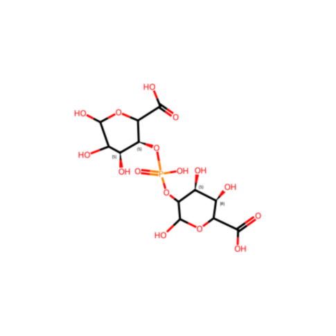 O=C(O)C1OC(O)C(O)[C@H](O)[C@@H]1OP(=O)(O)OC1C(O)OC(C(=O)O)[C@H](O)[C@@H]1O